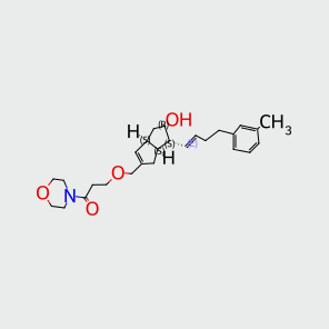 Cc1cccc(CC/C=C/[C@@H]2[C@H]3CC(COCCC(=O)N4CCOCC4)=C[C@H]3C[C@H]2O)c1